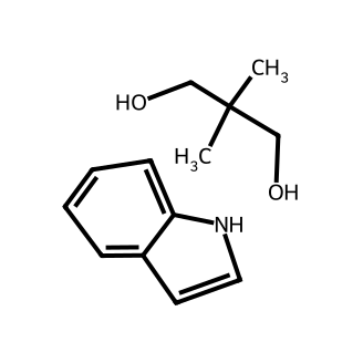 CC(C)(CO)CO.c1ccc2[nH]ccc2c1